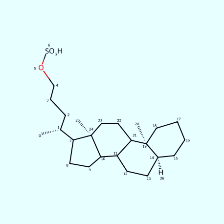 C[C@H](CCCOS(=O)(=O)O)C1CCC2C3CC[C@@H]4CCCC[C@]4(C)C3CC[C@@]21C